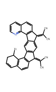 CCC1CC=Cc2ccc3c(c21)-c1cc2c(cc1C3=C(C#N)C#N)C(=C(C#N)C#N)c1ccc3cccnc3c1-2